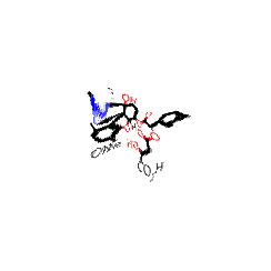 COc1ccc(C)c2c1O[C@H]1C(OC(=O)[C@@H](OC(=O)C[C@H](O)C(=O)O)c3ccccc3)=CC[C@@]3(O)[C@@H](C)N(C)CC[C@]213